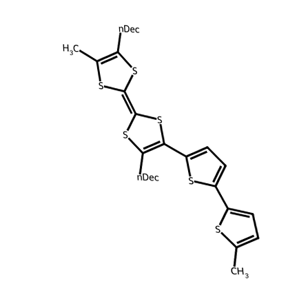 CCCCCCCCCCC1=C(C)S/C(=C2\SC(CCCCCCCCCC)=C(c3ccc(-c4ccc(C)s4)s3)S2)S1